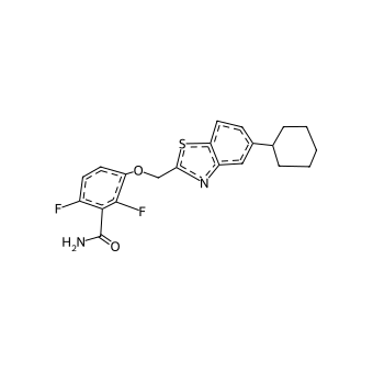 NC(=O)c1c(F)ccc(OCc2nc3cc(C4CCCCC4)ccc3s2)c1F